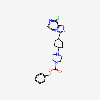 O=C(OCc1ccccc1)N1CCN(C2CCC(c3ncc4c(Cl)nccn34)CC2)CC1